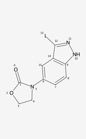 O=C1OCCN1c1ccc2[nH]nc(I)c2c1